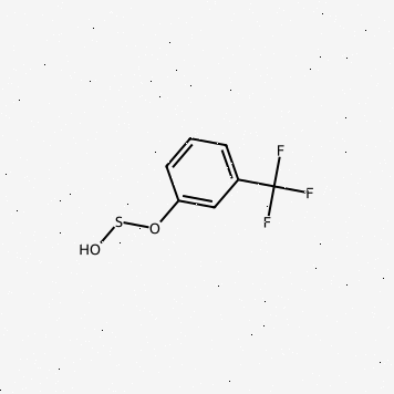 OSOc1cccc(C(F)(F)F)c1